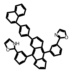 C1=COC(c2cccc(-c3c4ccccc4c(-c4cccc(-c5ncco5)c4)c4ccc(-c5ccc(-c6cccc7ccccc67)cc5)cc34)c2)N1